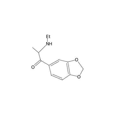 CCNC(C)C(=O)c1ccc2c(c1)OCO2